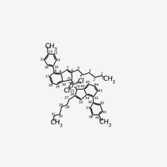 CCCCCCC1=Cc2c(-c3ccc(C)cc3)cccc2[CH]1[Zr]([Cl])([Cl])[CH]1C(CCCCCC)=Cc2c(-c3ccc(C)cc3)cccc21